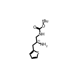 CC(C)(C)OC(=O)NC[C@@H](N)Cc1cccs1